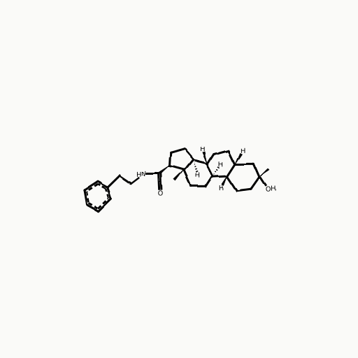 C[C@@]1(O)CC[C@H]2[C@H](CC[C@@H]3[C@@H]2CC[C@]2(C)[C@@H](C(=O)NCCc4ccccc4)CC[C@@H]32)C1